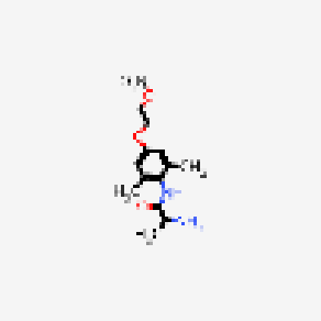 Cc1cc(OCCO[N+](=O)[O-])cc(C)c1NC(=O)C(C)N